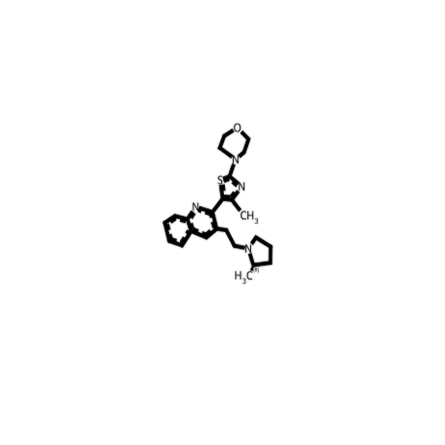 Cc1nc(N2CCOCC2)sc1-c1nc2ccccc2cc1CCN1CCC[C@H]1C